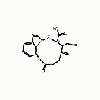 O=C1CCC(=O)C(CO)[C@H](C(=O)O)Nn2ccc3cccc(c32)O1